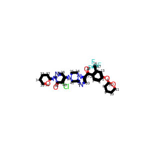 O=C(c1ccc(OC2CCCCO2)cc1C(F)(F)F)c1cnc2n1CCN(c1cnn(C3CCCCO3)c(=O)c1Cl)C2